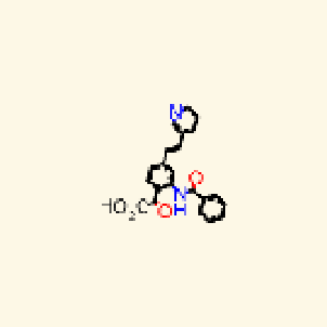 O=C(O)C(=O)c1ccc(/C=C/c2cccnc2)cc1NC(=O)c1ccccc1